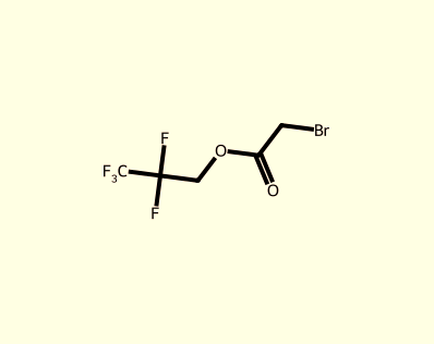 O=C(CBr)OCC(F)(F)C(F)(F)F